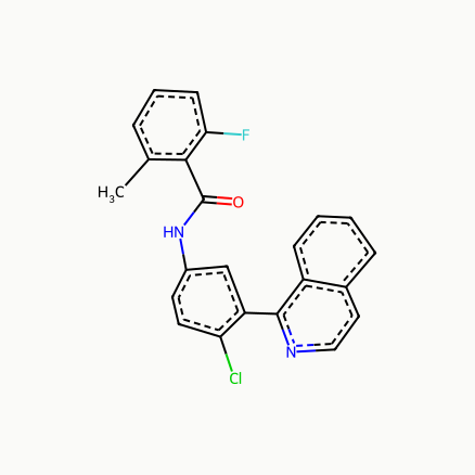 Cc1cccc(F)c1C(=O)Nc1ccc(Cl)c(-c2nccc3ccccc23)c1